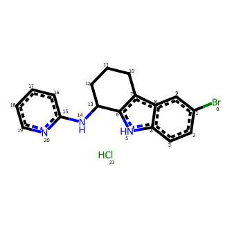 Brc1ccc2[nH]c3c(c2c1)CCCC3Nc1ccccn1.Cl